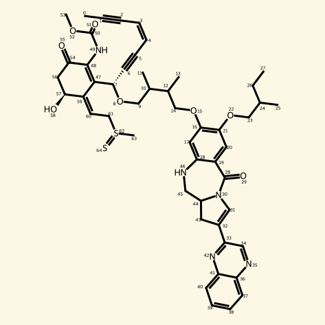 CC#C/C=C\C#C[C@H](OCC(C)C(C)COc1cc2c(cc1OCC(C)CC)C(=O)N1C=C(c3cnc4ccccc4n3)CC1CN2)C1=C(NC(=O)OC)C(=O)C[C@H](O)/C1=C/CS(C)=S